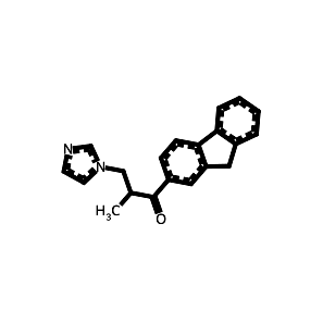 CC(Cn1ccnc1)C(=O)c1ccc2c(c1)Cc1ccccc1-2